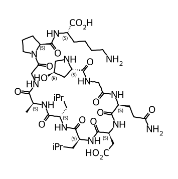 CC(C)C[C@H](NC(=O)[C@H](CC(C)C)NC(=O)[C@H](CC(=O)O)NC(=O)[C@H](CCC(N)=O)NC(=O)CNC(=O)[C@@H]1C[C@@H](O)CN1)C(=O)N[C@@H](C)C(=O)NCC(=O)N1CCC[C@H]1C(=O)N[C@@H](CCCCN)C(=O)O